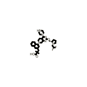 CC(C)(Cc1cc(N2CCc3c(nc(OC[C@@H]4CCCN4CC(F)F)nc3N3CCNCC3)C2)c2ccccc2c1)C(=O)O